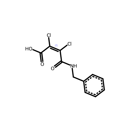 O=C(O)/C(Cl)=C(/Cl)C(=O)NCc1ccccc1